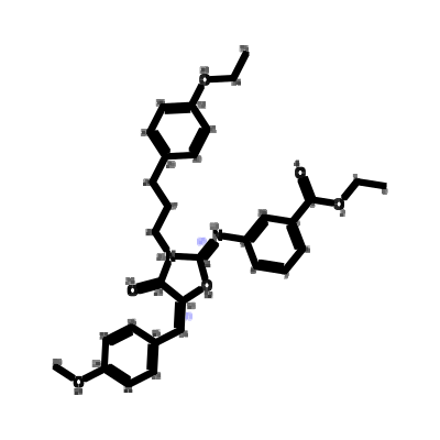 CCOC(=O)c1cccc(/N=C2\O/C(=C/c3ccc(OC)cc3)C(=O)N2CCCc2ccc(OCC)cc2)c1